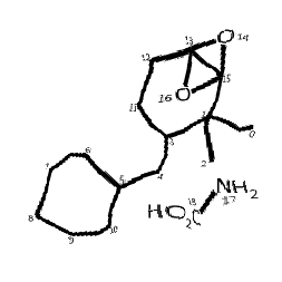 CC1(C)C(CC2CCCCC2)CCC23OC21O3.NC(=O)O